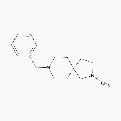 CN1CCC2(CCN(Cc3ccccc3)CC2)C1